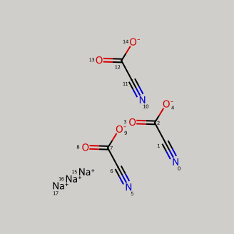 N#CC(=O)[O-].N#CC(=O)[O-].N#CC(=O)[O-].[Na+].[Na+].[Na+]